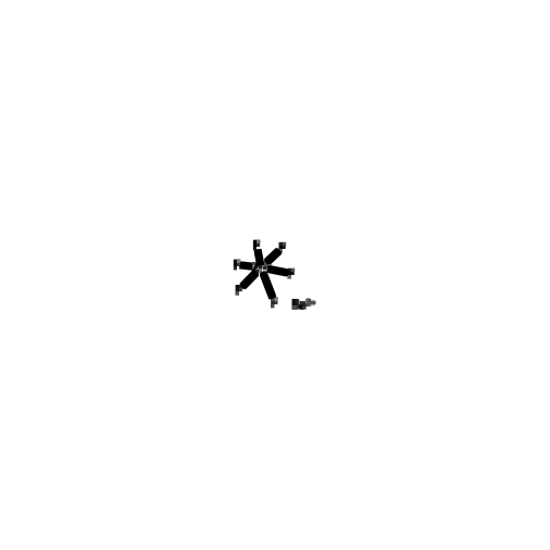 [Ba+2].[F][Zr-2]([F])([F])([F])([F])[F]